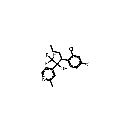 CCCC(c1ccc(Cl)cc1Cl)C(O)(c1ccnc(C)c1)C(F)(F)F